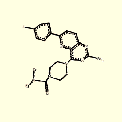 CCN(CC)C(=O)N1CCN(c2nc(N)nc3ccc(-c4ccc(F)cc4)nc23)CC1